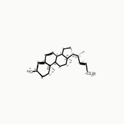 CCOC(=O)/C=C/[C@@H](C)[C@H]1CCC2C3C=CC4=CC(O)CC[C@]4(C)C3CC[C@@]21C